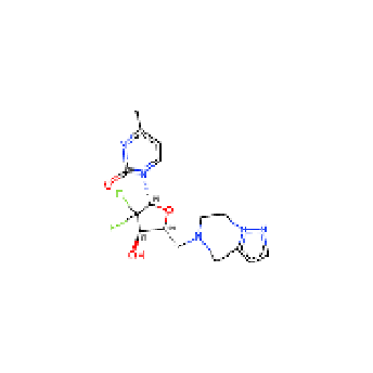 Cc1ccn([C@@H]2O[C@H](CN3CCn4nccc4C3)[C@@H](O)C2(F)F)c(=O)n1